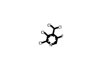 Fc1cnc(Cl)c(Cl)c1C(Cl)Cl